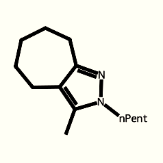 CCCCCn1nc2c(c1C)CCCCC2